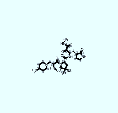 CCC1(CC)C[C@@H](C(=O)N[C@@H](C[C@@H]2CCNC2=O)C(=O)C(=O)NC(C)C)N(C(=O)[C@H](CN2CCC(C(F)(F)F)CC2)NC(=O)O)C1